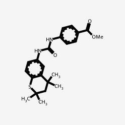 COC(=O)c1ccc(NC(=O)Nc2ccc3c(c2)C(C)(C)CC(C)(C)S3)cc1